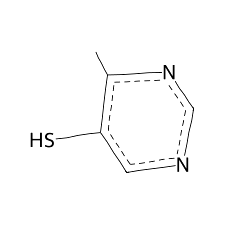 Cc1ncncc1S